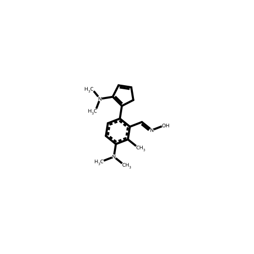 Cc1c(N(C)C)ccc(C2=C(N(C)C)C=CC2)c1/C=N/O